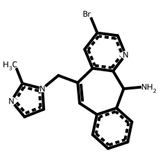 Cc1nccn1CC1=Cc2ccccc2C(N)c2ncc(Br)cc21